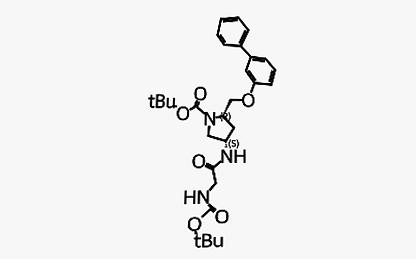 CC(C)(C)OC(=O)NCC(=O)N[C@H]1C[C@H](COc2cccc(-c3ccccc3)c2)N(C(=O)OC(C)(C)C)C1